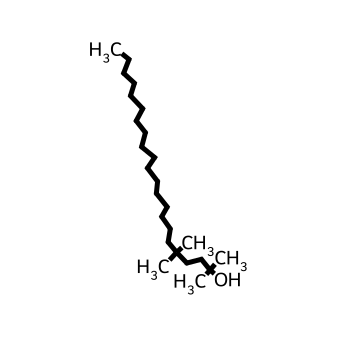 CCCCCCCCCCCCCCCCCC(C)(C)CCC(C)(C)O